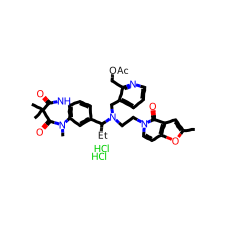 CCC(c1ccc2c(c1)N(C)C(=O)C(C)(C)C(=O)N2)N(CCn1ccc2oc(C)cc2c1=O)Cc1cccnc1COC(C)=O.Cl.Cl